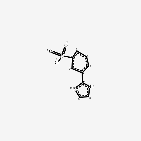 O=S(=O)(Cl)c1cccc(-c2nccs2)c1